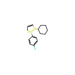 Fc1ccc([SH]2CC=C[SH]2C2CCCCC2)cc1